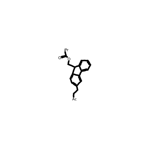 CC(=O)CCc1ccc2c(c1)-c1ccccc1C2COC(=O)C(C)C